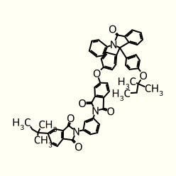 CCC(C)(C)Oc1ccc(C2(c3ccc(Oc4ccc5c(c4)C(=O)N(c4cccc(N6C(=O)c7ccc(C(C)(C)CC)cc7C6=O)c4)C5=O)cc3)c3ccccc3C(=O)N2c2ccccc2)cc1